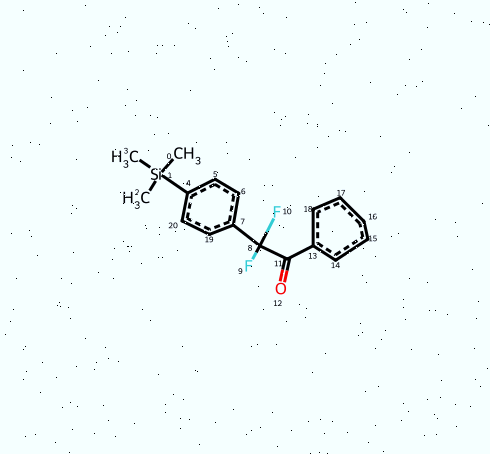 C[Si](C)(C)c1ccc(C(F)(F)C(=O)c2ccccc2)cc1